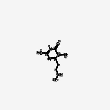 CCNCCc1nc(O)nc(=O)n1CC